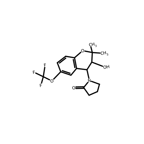 CC1(C)Oc2ccc(OC(F)(F)F)cc2C(N2CCCC2=O)C1O